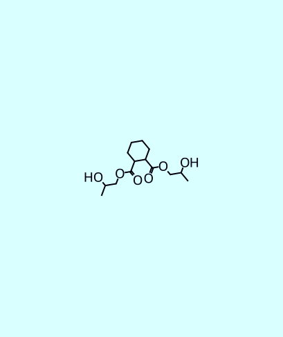 CC(O)COC(=O)C1CCCCC1C(=O)OCC(C)O